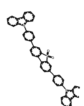 O=S1(=O)c2cc(-c3ccc(-n4c5ccccc5c5ccccc54)cc3)ccc2-c2ccc(-c3ccc(-n4c5ccccc5c5ccccc54)cc3)cc21